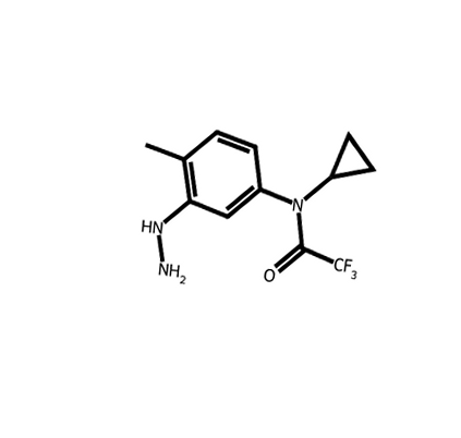 Cc1ccc(N(C(=O)C(F)(F)F)C2CC2)cc1NN